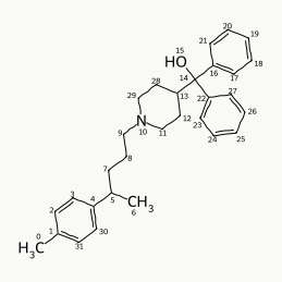 Cc1ccc(C(C)CCCN2CCC(C(O)(c3ccccc3)c3ccccc3)CC2)cc1